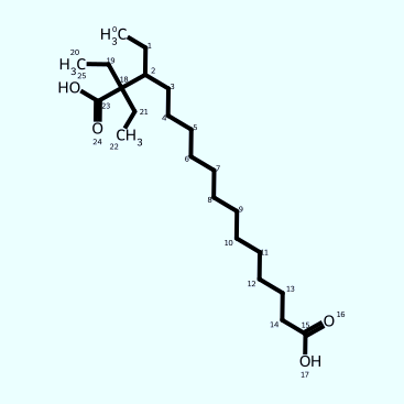 CCC(CCCCCCCCCCCCC(=O)O)C(CC)(CC)C(=O)O